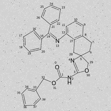 O=C(NC1=NC2(CCc3cccc(N=C(c4ccccc4)c4ccccc4)c3C2)CO1)OCc1ccccc1